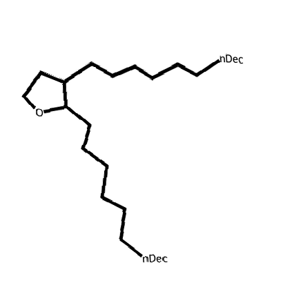 CCCCCCCCCCCCCCCC[C]1CCOC1CCCCCCCCCCCCCCCC